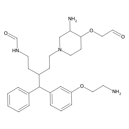 NCCOc1cccc(C(c2ccccc2)C(CCNC=O)CCN2CCC(OCC=O)C(N)C2)c1